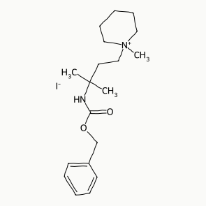 CC(C)(CC[N+]1(C)CCCCC1)NC(=O)OCc1ccccc1.[I-]